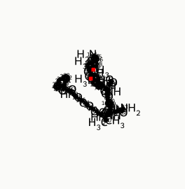 CC(C)[C@H](NC(=O)CCOCCOCCOCCOCCNC(=O)CCC(=O)N1Cc2ccccc2C#Cc2ccccc21)C(=O)N[C@@H](CCCNC(N)=O)C(=O)Nc1ccc(COC(=O)N[C@@H](CCC(=O)O)C(=O)Nc2ccc3c(c2)[C@@]2(C)CCC[C@](C)(C(=O)NC(=O)[C@@]4(C)CCC[C@]5(C)c6cc(N)ccc6CC[C@@H]45)[C@@H]2CC3)cc1